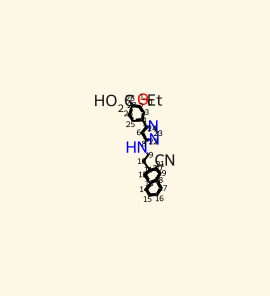 CCOc1cc(-c2cc(NCCc3cc4ccccc4cc3C#N)ncn2)ccc1C(=O)O